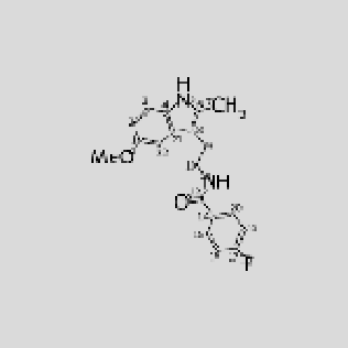 COc1ccc2[nH]c(C)c(CCNC(=O)c3ccc(F)cc3)c2c1